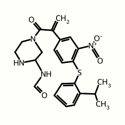 C=C(C(=O)N1CCNC(NC=O)C1)c1ccc(Sc2ccccc2C(C)C)c([N+](=O)[O-])c1